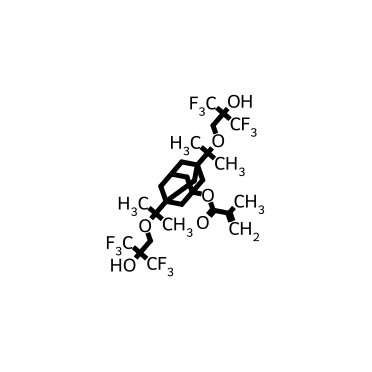 C=C(C)C(=O)OC12CC3CC(C(C)(C)OCC(O)(C(F)(F)F)C(F)(F)F)(C1)CC(C(C)(C)OCC(O)(C(F)(F)F)C(F)(F)F)(C3)C2